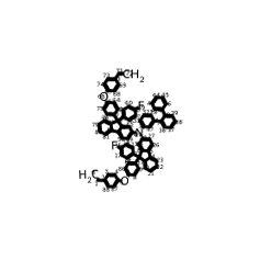 C=Cc1ccc(Oc2ccc(C3(c4ccc(F)cc4)c4ccccc4-c4ccc(N(c5cccc(-c6ccccc6-c6ccccc6)c5)c5ccc6c(c5)C(c5ccc(F)cc5)(c5ccc(Oc7ccc(C=C)cc7)cc5)c5ccccc5-6)cc43)cc2)cc1